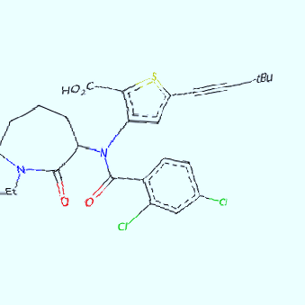 CCN1CCCCC(N(C(=O)c2ccc(Cl)cc2Cl)c2cc(C#CC(C)(C)C)sc2C(=O)O)C1=O